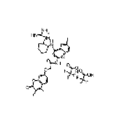 Cc1ccc2nc(NC(=O)COc3ccc4c(C)c(Cl)c(=O)oc4c3)nc(NC3CCCCC3NC(=N)N)c2c1.O=C(O)C(F)(F)F.O=C(O)C(F)(F)F